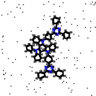 c1ccc(-c2nc(-c3ccccc3)nc(-c3ccc(-n4c5ccccc5c5c6c(c7ccccc7n6-c6ccccc6)c6c(c7ccccc7n6-c6ccc(-c7nc(-c8ccccc8)nc(-c8ccccc8)n7)cc6)c54)cc3)n2)cc1